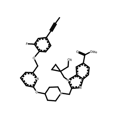 CC#Cc1ccc(OCc2cccc(OC3CCN(Cc4nc5ccc(C(=O)OC)cc5n4CC4(CC#N)CC4)CC3)n2)c(F)c1